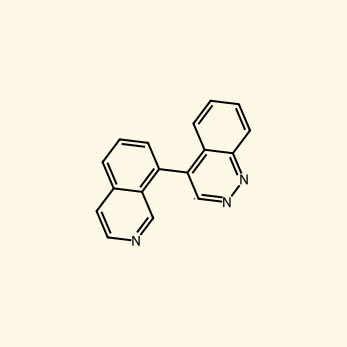 [c]1nnc2ccccc2c1-c1cccc2ccncc12